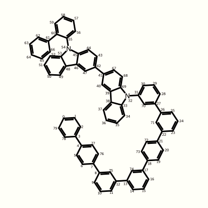 c1ccc(-c2ccc(-c3cccc(-c4cccc(-c5ccc(-c6cccc(-c7cccc(-n8c9ccccc9c9cc(-c%10ccc%11c(c%10)c%10ccccc%10n%11-c%10ccccc%10-c%10ccccc%10)ccc98)c7)c6)cc5)c4)c3)cc2)cc1